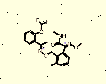 CNC(=O)/C(=N/OC)c1cccc(C)c1CO/N=C(\C)c1ccccc1OC(F)F